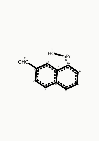 CCCO.O=Cc1ccc2ccccc2c1